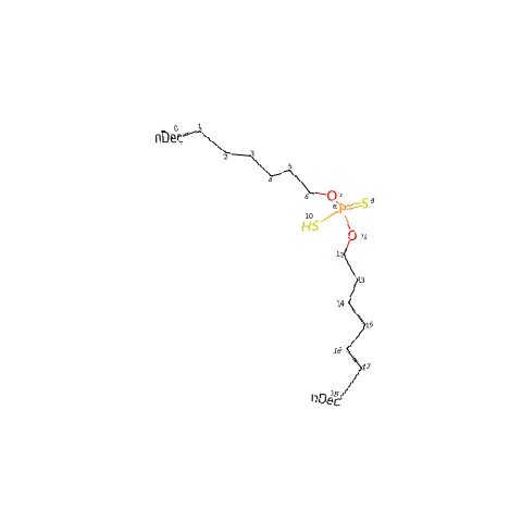 CCCCCCCCCCCCCCCCOP(=S)(S)OCCCCCCCCCCCCCCCC